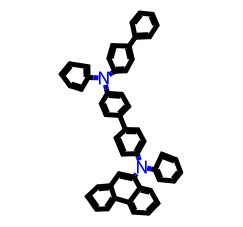 c1ccc(-c2ccc(N(c3ccccc3)c3ccc(-c4ccc(N(c5ccccc5)c5cc6ccccc6c6ccccc56)cc4)cc3)cc2)cc1